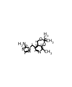 Cc1ncc(Cn2ncnc2N)c2c1OC(C)(C)OC2